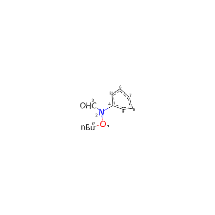 CCCCON(C=O)c1[c]cccc1